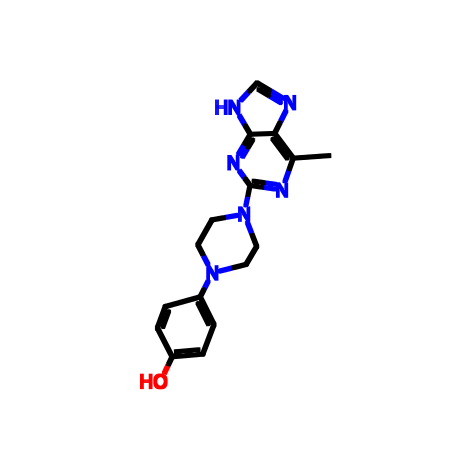 Cc1nc(N2CCN(c3ccc(O)cc3)CC2)nc2[nH]cnc12